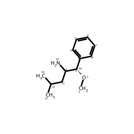 CO[C@@H](c1ccccc1)C(N)CC(C)C